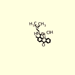 CCN(CC)CCNC(=O)c1c(I)ccc2c(=O)c3ccccc3[nH]c12.Cl